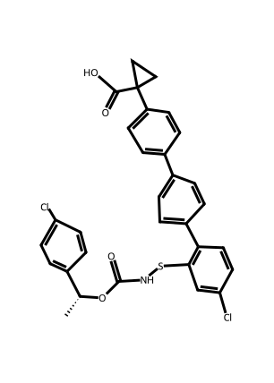 C[C@@H](OC(=O)NSc1cc(Cl)ccc1-c1ccc(-c2ccc(C3(C(=O)O)CC3)cc2)cc1)c1ccc(Cl)cc1